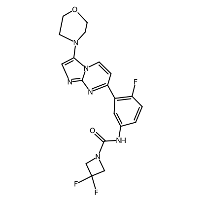 O=C(Nc1ccc(F)c(-c2ccn3c(N4CCOCC4)cnc3n2)c1)N1CC(F)(F)C1